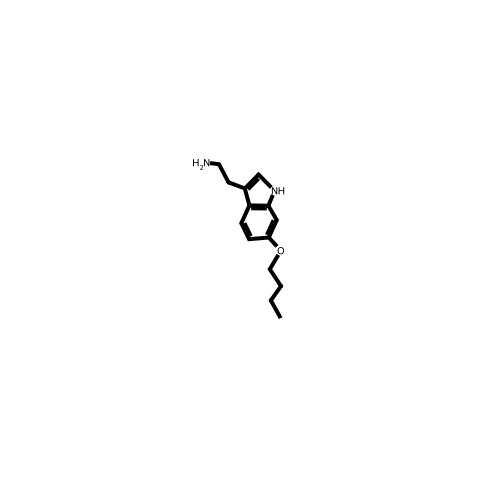 CCCCOc1ccc2c(CCN)c[nH]c2c1